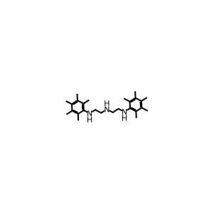 Cc1c(C)c(C)c(NCCNCCNc2c(C)c(C)c(C)c(C)c2C)c(C)c1C